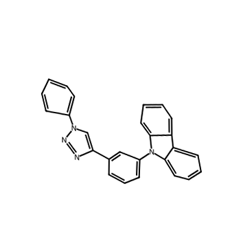 c1ccc(-n2cc(-c3cccc(-n4c5ccccc5c5ccccc54)c3)nn2)cc1